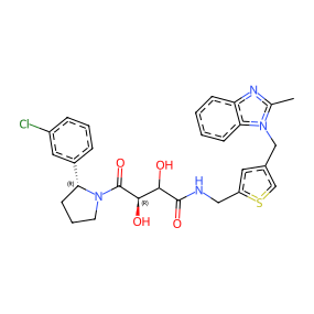 Cc1nc2ccccc2n1Cc1csc(CNC(=O)C(O)[C@@H](O)C(=O)N2CCC[C@@H]2c2cccc(Cl)c2)c1